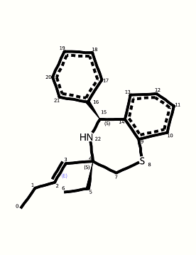 CC/C=C/[C@@]1(CC)CSc2ccccc2[C@H](c2ccccc2)N1